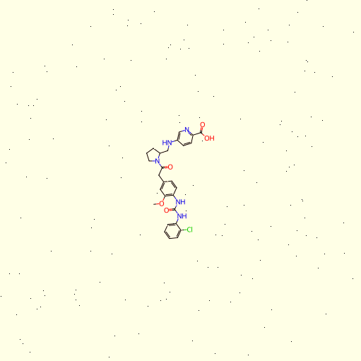 COc1cc(CC(=O)N2CCCC2CNc2ccc(C(=O)O)nc2)ccc1NC(=O)Nc1ccccc1Cl